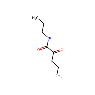 [CH2]CCNC(=O)C(=O)CCC